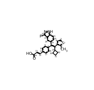 Cc1sccc1C(=C(c1ccc(C=CC(=O)O)cc1)c1ccc2[nH]nc(F)c2c1)C1CCC1